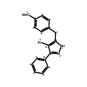 COc1ccc(Cc2[nH]nc(-c3ccccc3)c2C(C)=O)cc1